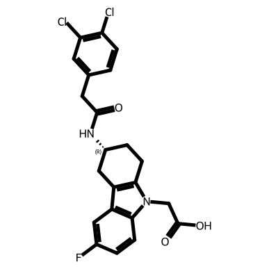 O=C(O)Cn1c2c(c3cc(F)ccc31)C[C@H](NC(=O)Cc1ccc(Cl)c(Cl)c1)CC2